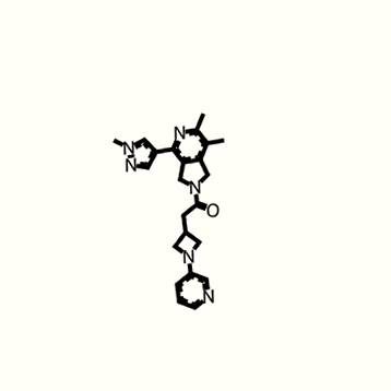 Cc1nc(-c2cnn(C)c2)c2c(c1C)CN(C(=O)CC1CN(c3cccnc3)C1)C2